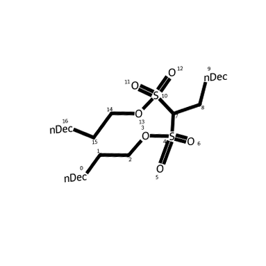 CCCCCCCCCCCCOS(=O)(=O)C(CCCCCCCCCCC)S(=O)(=O)OCCCCCCCCCCCC